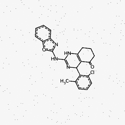 Cc1cccc(Cl)c1C1N=C(Nc2nc3ccccc3o2)NC2=C1C(=O)CCC2